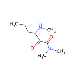 CCCC(NC)C(=O)C(=O)N(C)C